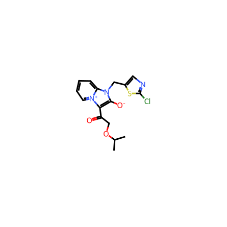 CC(C)OCC(=O)c1c([O-])n(Cc2cnc(Cl)s2)c2cccc[n+]12